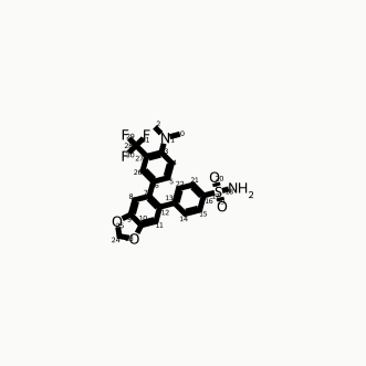 CN(C)c1ccc(-c2cc3c(cc2-c2ccc(S(N)(=O)=O)cc2)OCO3)cc1C(F)(F)F